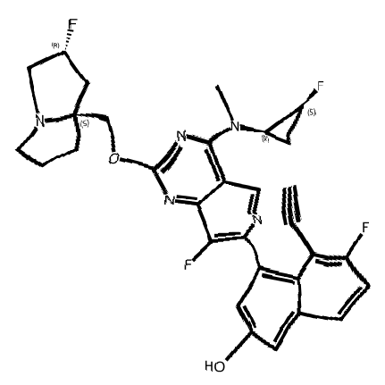 C#Cc1c(F)ccc2cc(O)cc(-c3ncc4c(N(C)[C@@H]5C[C@@H]5F)nc(OC[C@@]56CCCN5C[C@H](F)C6)nc4c3F)c12